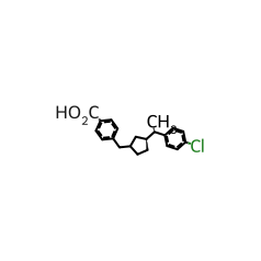 C[C@H](c1ccc(Cl)cc1)[C@H]1CCC(Cc2ccc(C(=O)O)cc2)C1